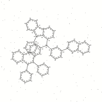 c1ccc(-c2c(-c3ccccc3)c3cc(N(c4cccc(-c5ccc6ccccc6c5)c4)c4cccc5c6ccccc6n(-c6ccccc6)c45)ccc3c3ccccc23)cc1